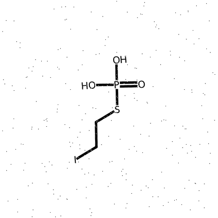 O=P(O)(O)SCCI